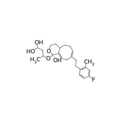 Cc1cc(F)ccc1CC/C1=C/CCC2CCO[C@](O)(OC(C)CC(O)O)/C2=C/C1